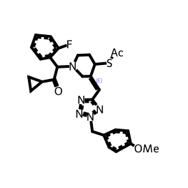 COc1ccc(Cn2nnc(/C=C3\CN(C(C(=O)C4CC4)c4ccccc4F)CCC3SC(C)=O)n2)cc1